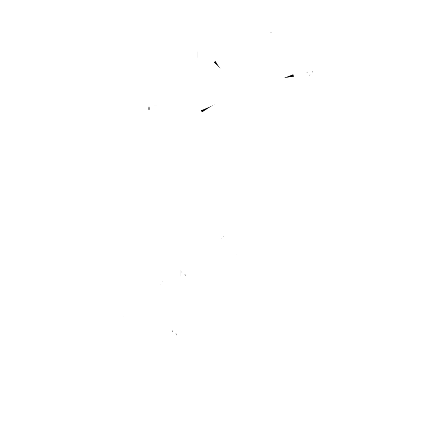 CCCOc1cc2cc(NC(=O)c3cc4ccccc4[nH]3)c(=O)oc2c(C)c1O[C@@H]1OC(C)(C)[C@H](OC)[C@@H](O)[C@@H]1O